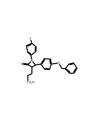 O=C(O)CCC1C(=O)N(c2ccc(F)cc2)C1c1ccc(OCc2ccccc2)cc1